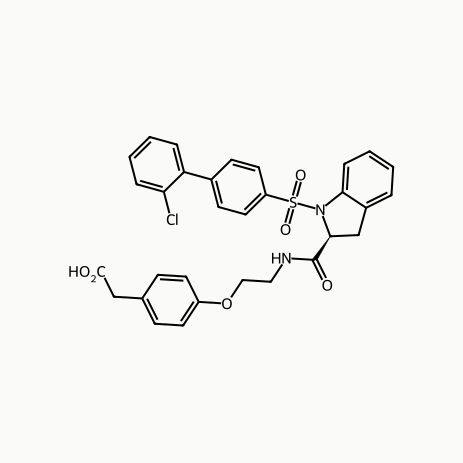 O=C(O)Cc1ccc(OCCNC(=O)[C@@H]2Cc3ccccc3N2S(=O)(=O)c2ccc(-c3ccccc3Cl)cc2)cc1